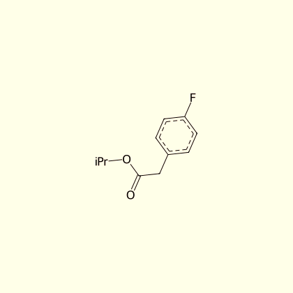 CC(C)OC(=O)Cc1ccc(F)cc1